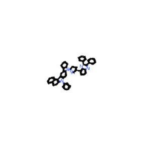 c1ccc(-c2nc3cccc(-c4ccc(-n5c6ccccc6c6cc7c8c9ccccc9ccc8n(-c8ccccc8)c7cc65)nc4)c3nc2-c2ccccc2)cc1